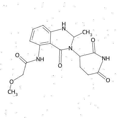 COCC(=O)Nc1cccc2c1C(=O)N(C1CCC(=O)NC1=O)C(C)N2